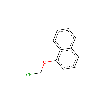 ClCOc1c[c]cc2ccccc12